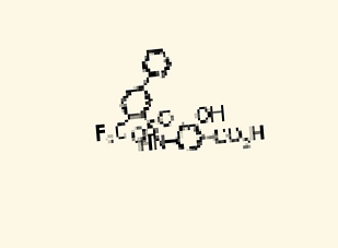 O=C(O)c1ccc(NS(=O)(=O)c2cc(-c3ccccc3)ccc2C(F)(F)F)cc1O